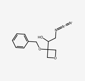 [N-]=[N+]=NCC(O)C1(OCc2ccccc2)COC1